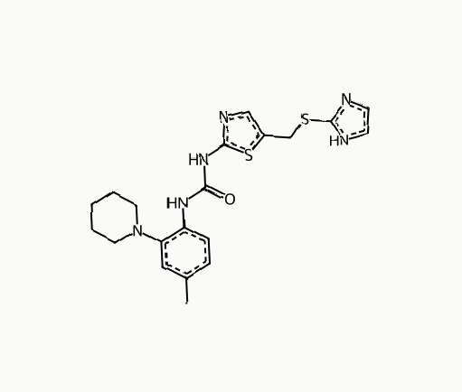 Cc1ccc(NC(=O)Nc2ncc(CSc3ncc[nH]3)s2)c(N2CCCCC2)c1